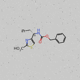 CC(C)C[C@H](NC(=O)OCc1ccccc1)c1csc(C(=O)O)n1